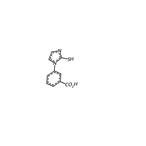 O=C(O)c1cccc(-n2ccnc2S)c1